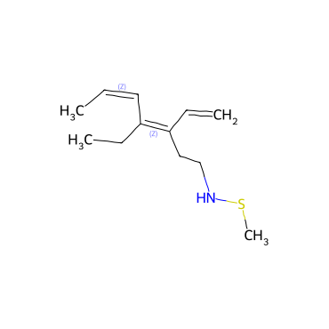 C=C/C(CCNSC)=C(\C=C/C)CC